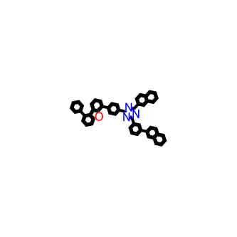 c1ccc(-c2cccc3oc4c(-c5ccc(-c6nc(-c7cccc(-c8ccc9ccccc9c8)c7)nc(-c7ccc8ccccc8c7)n6)cc5)cccc4c23)cc1